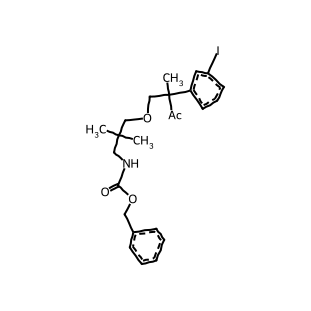 CC(=O)C(C)(COCC(C)(C)CNC(=O)OCc1ccccc1)c1cccc(I)c1